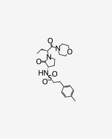 CC[C@@H](C(=O)N1CCOCC1)N1CC[C@H](NS(=O)(=O)CCc2ccc(C)cc2)C1=O